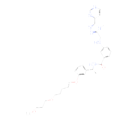 CCOCCCOCCCCCOc1cccc([C@H](C)NC(=O)c2cccc(NCc3nnc(-c4ccncn4)n3C)c2)c1